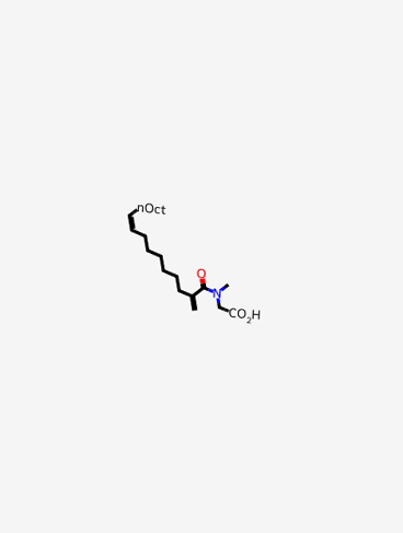 C=C(CCCCCC/C=C\CCCCCCCC)C(=O)N(C)CC(=O)O